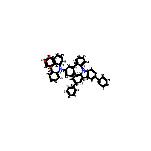 c1ccc(-c2ccc3c(c2)c2cc(-c4ccccc4)ccc2n3-c2ccccc2-c2cccc(N(c3ccccc3-c3ccccc3)c3cccc4ccccc34)c2)cc1